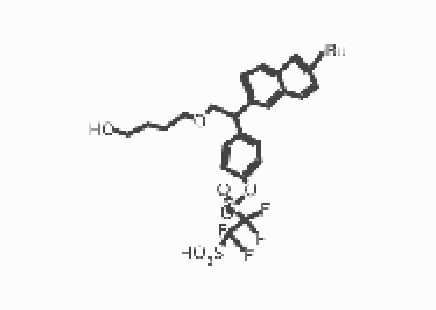 CCC(C)c1ccc2cc(C(COCCCCO)c3ccc(OS(=O)(=O)C(F)(F)C(F)(F)S(=O)(=O)O)cc3)ccc2c1